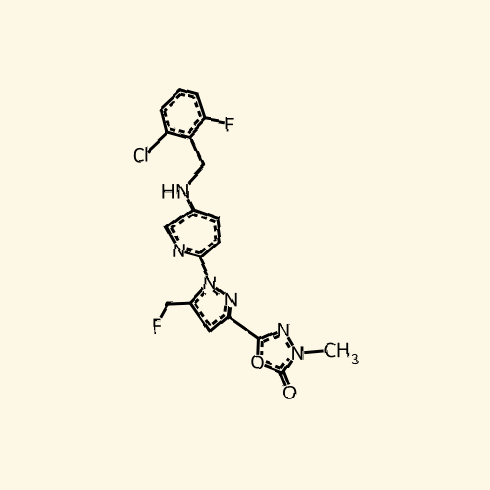 Cn1nc(-c2cc(CF)n(-c3ccc(NCc4c(F)cccc4Cl)cn3)n2)oc1=O